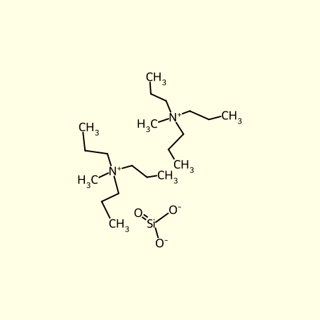 CCC[N+](C)(CCC)CCC.CCC[N+](C)(CCC)CCC.O=[Si]([O-])[O-]